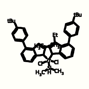 CCC1=C(C)[CH]([Zr]([Cl])([Cl])([CH]2C(C)=Cc3c(-c4ccc(C(C)(C)C)cc4)cccc32)[SiH](C)C)c2cccc(-c3ccc(C(C)(C)C)cc3)c21